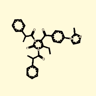 CCc1c(C(=O)c2ccc(-n3ccnc3C)cc2)n(C(=O)C(C)c2ccccc2)c(=O)n1C(=O)C(C)c1ccccc1